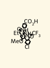 CCC(C(=O)Nc1ccc(C(=O)O)cc1)n1cc(OC)c(-c2cc(Cl)ccc2-c2nnc(C(F)(F)F)o2)cc1=O